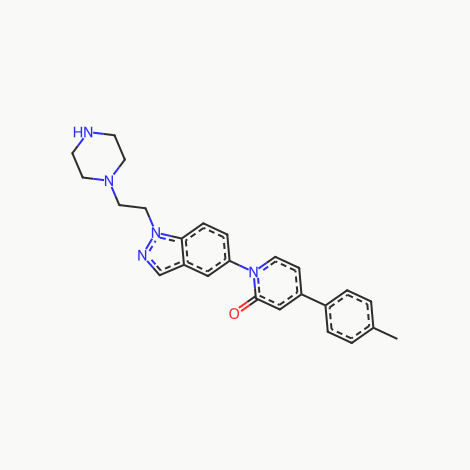 Cc1ccc(-c2ccn(-c3ccc4c(cnn4CCN4CCNCC4)c3)c(=O)c2)cc1